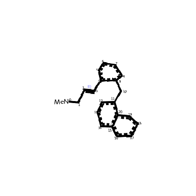 CNC/C=C/c1ccccc1Cc1cccc2ccccc12